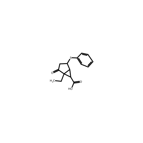 CCC12C(=O)CC(Sc3ccccc3)C1C2C(=O)O